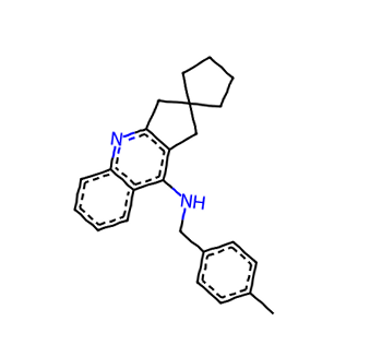 Cc1ccc(CNc2c3c(nc4ccccc24)CC2(CCCC2)C3)cc1